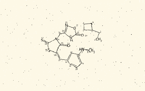 CCC1CCC1.CNc1cccc(C=C2SC(=S)N(Cc3noc(=O)[nH]3)C2=O)c1